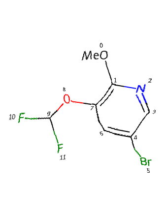 COc1ncc(Br)cc1OC(F)F